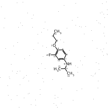 CCCOc1ccc(NC(C)C)cc1F